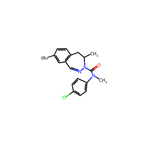 CC1Cc2ccc(C(C)(C)C)cc2C=NN1C(=O)N(C)c1ccc(Cl)cc1